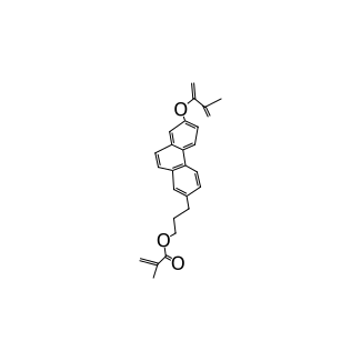 C=C(C)C(=C)Oc1ccc2c(ccc3cc(CCCOC(=O)C(=C)C)ccc32)c1